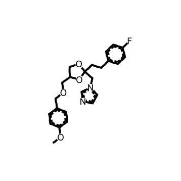 COc1ccc(COCC2COC(CCc3ccc(F)cc3)(Cn3ccnc3)O2)cc1